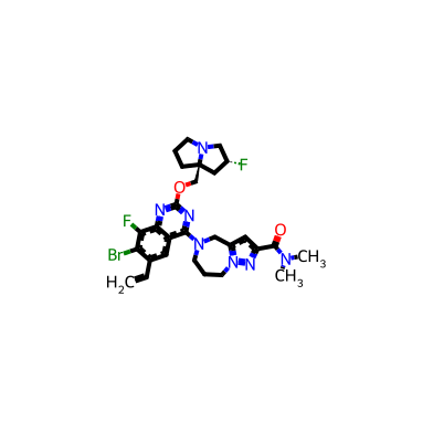 C=Cc1cc2c(N3CCCn4nc(C(=O)N(C)C)cc4C3)nc(OC[C@@]34CCCN3C[C@H](F)C4)nc2c(F)c1Br